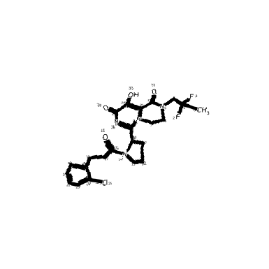 CC(F)(F)CN1CCn2c(C3CCCN3C(=O)CCc3ccccc3Cl)nc(=O)c(O)c2C1=O